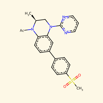 CC(=O)N1c2ccc(-c3ccc(S(C)(=O)=O)cc3)cc2N(c2ncccn2)C[C@@H]1C